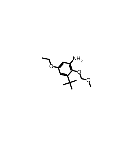 CCOc1cc(N)c(OCOC)c(C(C)(C)C)c1